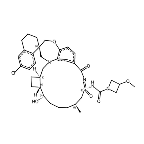 COC1CN(C(=O)N[S@@]2(=O)=NC(=O)c3ccc4c(c3)N(C[C@@H]3CC[C@H]3[C@@H](O)CCC[C@H](C)C2)C[C@@]2(CCCc3cc(Cl)ccc32)CO4)C1